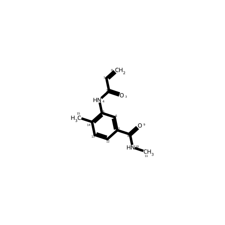 C=CC(=O)Nc1cc(C(=O)NC)ccc1C